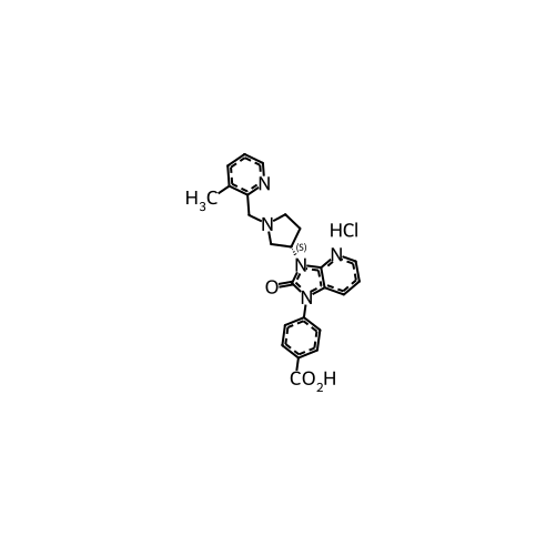 Cc1cccnc1CN1CC[C@H](n2c(=O)n(-c3ccc(C(=O)O)cc3)c3cccnc32)C1.Cl